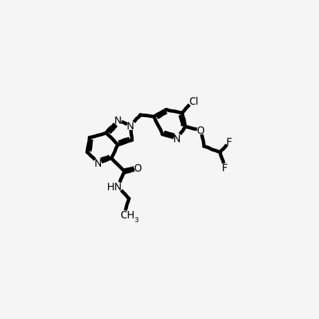 CCNC(=O)c1nccc2nn(Cc3cnc(OCC(F)F)c(Cl)c3)cc12